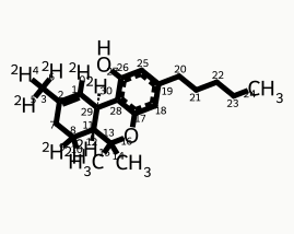 [2H]C1=C(C([2H])([2H])[2H])CC([2H])([2H])[C@@]2([2H])C(C)(C)Oc3cc(CCCCC)cc(O)c3[C@]12[2H]